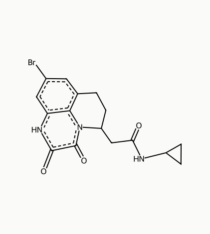 O=C(CC1CCc2cc(Br)cc3[nH]c(=O)c(=O)n1c23)NC1CC1